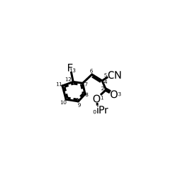 CC(C)OC(=O)C(C#N)=Cc1ccccc1F